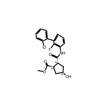 COC(=O)[C@@H]1C[C@H](O)C[C@H]1C(=O)Nc1cccc(-c2ccccc2Cl)c1F